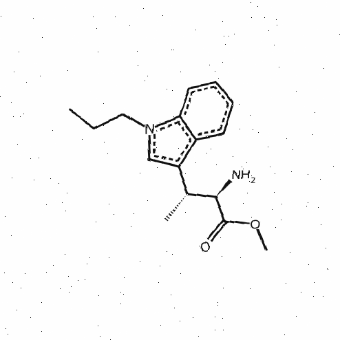 CCCn1cc([C@@H](C)[C@@H](N)C(=O)OC)c2ccccc21